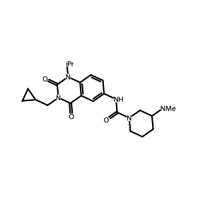 CNC1CCCN(C(=O)Nc2ccc3c(c2)c(=O)n(CC2CC2)c(=O)n3C(C)C)C1